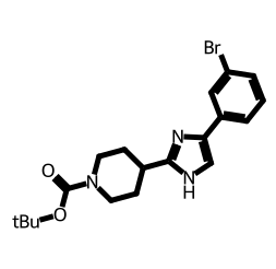 CC(C)(C)OC(=O)N1CCC(c2nc(-c3cccc(Br)c3)c[nH]2)CC1